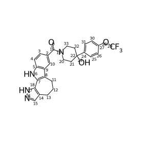 O=C(c1ccc2[nH]c3c(c2c1)CCCc1cn[nH]c1-3)N1CCC(O)(c2ccc(OC(F)(F)F)cc2)CC1